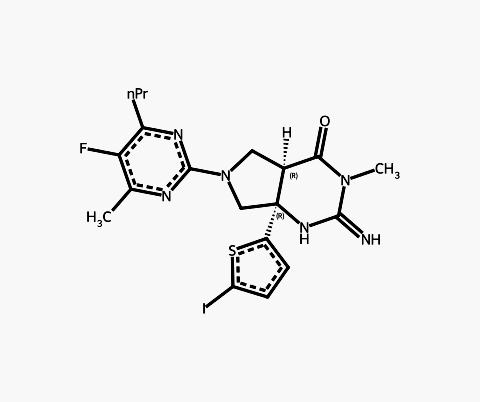 CCCc1nc(N2C[C@H]3C(=O)N(C)C(=N)N[C@@]3(c3ccc(I)s3)C2)nc(C)c1F